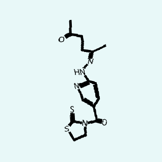 CC(=O)CCC(C)=NNc1ccc(C(=O)N2CCSC2=S)cn1